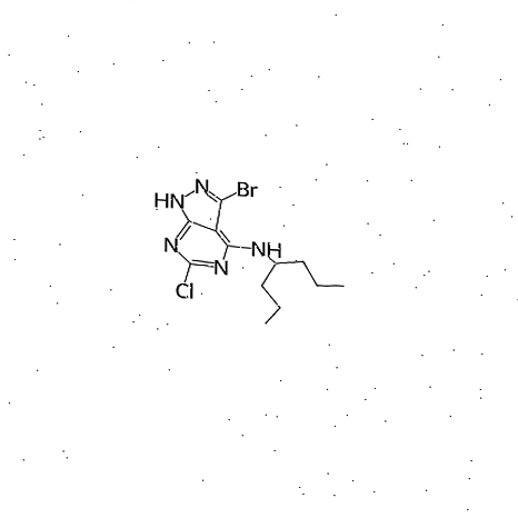 CCCC(CCC)Nc1nc(Cl)nc2[nH]nc(Br)c12